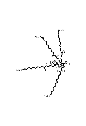 CCCCCCCCCCCCCCCCCCCCCC(=O)NCCC(C)C(C)(CCCNC(=O)CCCCCCCCCCCCCCCCCCC)N(CCNC(=O)CCCCCCCCCCCCCCCCCCC)C(CC)(CC)C(C)(C)CCCNC(=O)CCCCCCCCCCCCCCCCCCC